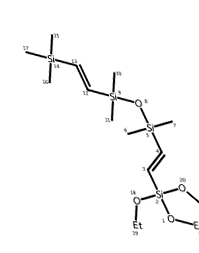 CCO[Si](/C=C/[Si](C)(C)O[Si](C)(C)/C=C/[Si](C)(C)C)(OCC)OCC